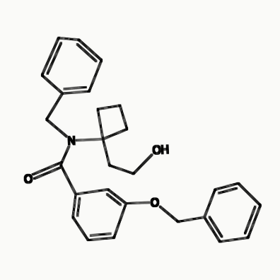 O=C(c1cccc(OCc2ccccc2)c1)N(Cc1ccccc1)C1(CCO)CCC1